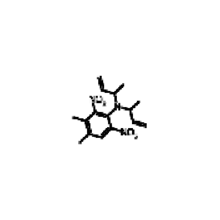 C=CC(C)N(c1c([N+](=O)[O-])cc(C)c(C)c1[N+](=O)[O-])C(C)C=C